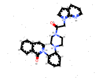 O=C(Cn1ccc2cccnc21)N1CCN(c2ccccc2-n2ccc3ccccc3c2=O)CC1